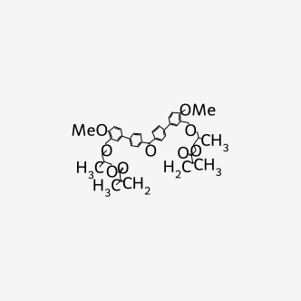 C=C(C)C(=O)OCC(C)COCc1cc(-c2ccc(C(=O)c3ccc(-c4ccc(OC)c(COCC(C)COC(=O)C(=C)C)c4)cc3)cc2)ccc1OC